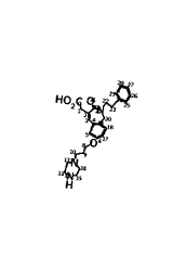 O=C(O)CC1=Cc2cc(OCCCN3CCNCC3)ccc2CN(CCc2ccccc2)C1=O